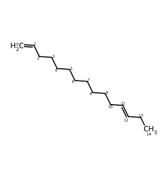 C=CCCCCCCCCCC=CCC